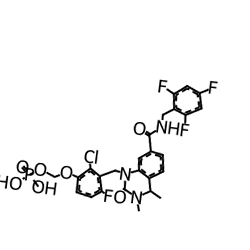 CC1c2ccc(C(=O)NCc3c(F)cc(F)cc3F)cc2N(Cc2c(F)ccc(OCOP(=O)(O)O)c2Cl)C(=O)N1C